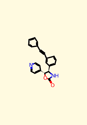 O=C1N[C@H](c2cccc(C#Cc3ccccc3)c2)[C@@H](c2ccncc2)O1